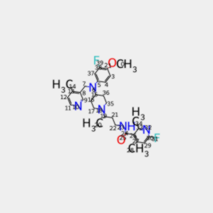 COc1ccc(N(Cc2cnccc2C)C2CCN([C@H](C)CCNC(=O)c3c(C)cc(F)nc3C)CC2)cc1F